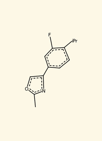 Cc1nc(-c2ccc(C(C)C)c(F)c2)co1